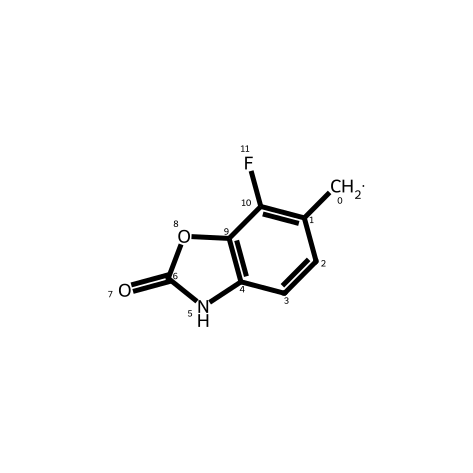 [CH2]c1ccc2[nH]c(=O)oc2c1F